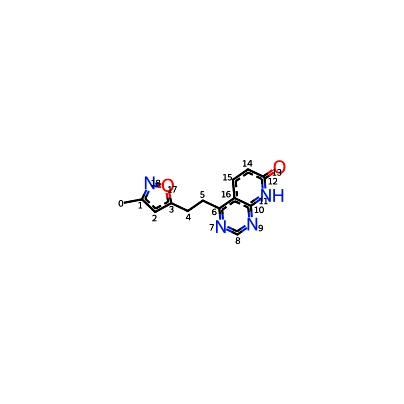 Cc1cc(CCc2ncnc3[nH]c(=O)ccc23)on1